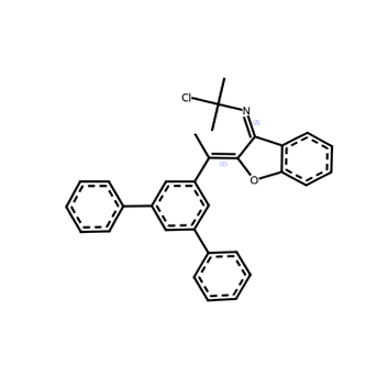 C/C(=C1/Oc2ccccc2/C1=N/C(C)(C)Cl)c1cc(-c2ccccc2)cc(-c2ccccc2)c1